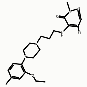 CCOc1cc(C)ccc1N1CCN(CCCNc2c(Cl)cnn(C)c2=O)CC1